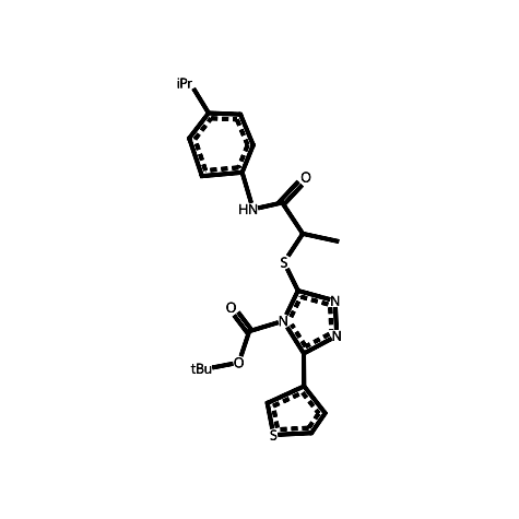 CC(Sc1nnc(-c2ccsc2)n1C(=O)OC(C)(C)C)C(=O)Nc1ccc(C(C)C)cc1